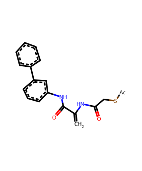 C=C(NC(=O)CSC(C)=O)C(=O)Nc1cccc(-c2ccccc2)c1